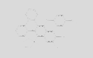 CCC(C)(CC)c1c2nc(O)c(O)nc2c(Nc2ccc(N)cc2)c2c3ccccc3c3ccccc3c12